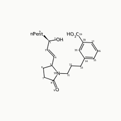 CCCCC[C@@H](O)/C=C/C1CCC(=O)N1CCCc1cccc(C(=O)O)c1